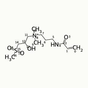 C=CC(=O)NCCC[N+](C)(C)CC(O)CS(C)(=O)=O